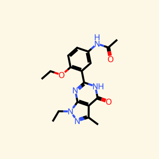 CCOc1ccc(NC(C)=O)cc1-c1nc2c(c(C)nn2CC)c(=O)[nH]1